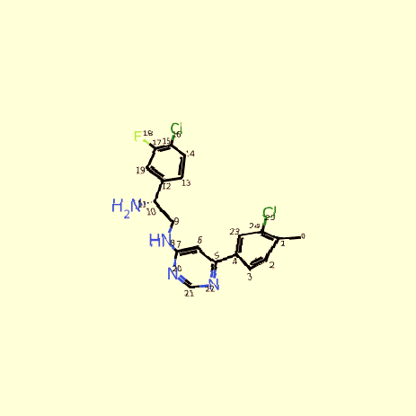 Cc1ccc(-c2cc(NC[C@H](N)c3ccc(Cl)c(F)c3)ncn2)cc1Cl